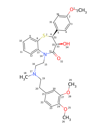 COc1ccc([C@@H]2Sc3ccccc3N(CCN(C)CCc3ccc(OC)c(OC)c3)C(=O)[C@@H]2O)cc1